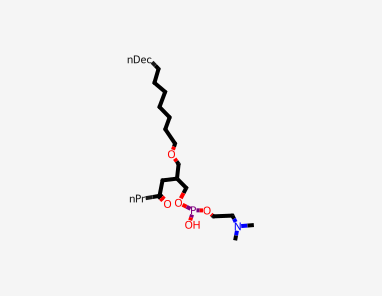 CCCCCCCCCCCCCCCCCOCC(COP(O)OCCN(C)C)CC(=O)CCC